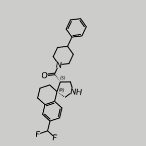 O=C([C@@H]1CNC[C@]12CCCc1cc(C(F)F)ccc12)N1CCC(c2ccccc2)CC1